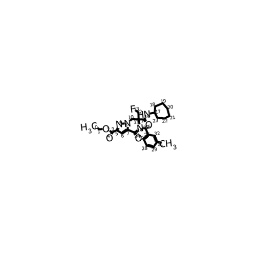 CCOC(=O)c1cc2n(n1)CC(CF)(C(=O)NC1CCCCCC1)N(Cc1cccc(C)c1)C2=O